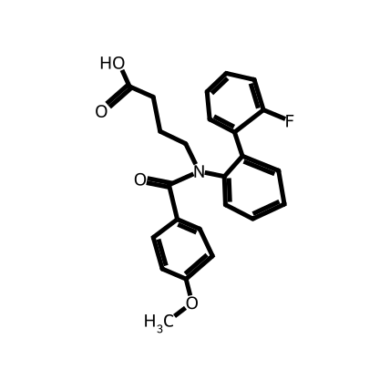 COc1ccc(C(=O)N(CCCC(=O)O)c2ccccc2-c2ccccc2F)cc1